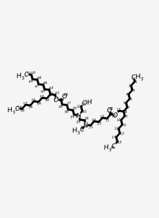 CCCCCCCCC(CCCCCCCC)COC(=O)CCCCCN(C)CCN(CCO)CCCCCC(=O)OCC(CCCCCCCC)CCCCCCCC